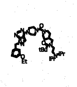 CCOc1cccc(Cn2ncc3c(N4CCN(C(=O)N5CCC(CN(CCN(C(C)C)C(C)C)C(=O)C(C)(C)C)CC5)CC4)ncnc32)c1